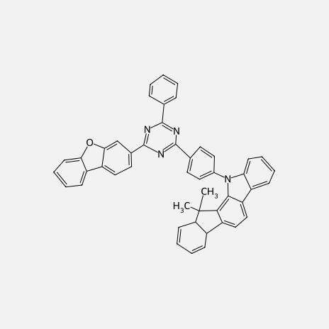 CC1(C)c2c(ccc3c4ccccc4n(-c4ccc(-c5nc(-c6ccccc6)nc(-c6ccc7c(c6)oc6ccccc67)n5)cc4)c23)C2C=CC=CC21